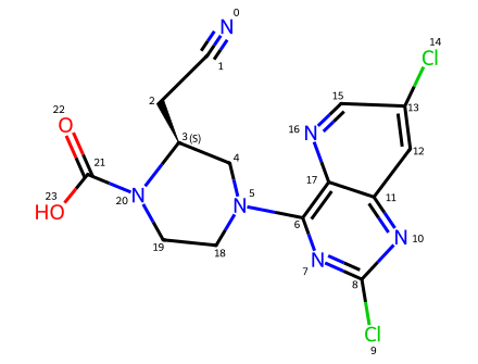 N#CC[C@H]1CN(c2nc(Cl)nc3cc(Cl)cnc23)CCN1C(=O)O